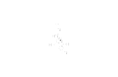 Cc1cc(N[C@@H]2CCCN(C3COC3)C2)nnc1-c1ccc(C#N)cc1O